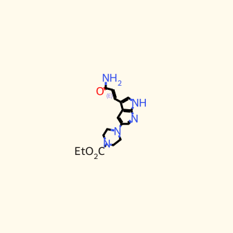 CCOC(=O)N1CCN(c2cnc3[nH]cc(/C=C/C(N)=O)c3c2)CC1